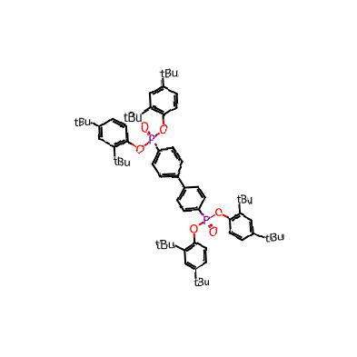 CC(C)(C)c1ccc(OP(=O)(Oc2ccc(C(C)(C)C)cc2C(C)(C)C)c2ccc(-c3ccc(P(=O)(Oc4ccc(C(C)(C)C)cc4C(C)(C)C)Oc4ccc(C(C)(C)C)cc4C(C)(C)C)cc3)cc2)c(C(C)(C)C)c1